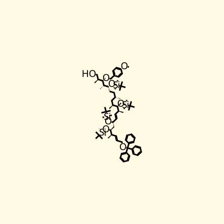 COc1ccc(CO[C@H]([C@@H](C)[C@@H](CC[C@H](C)C[C@H](C)[C@@H](O[Si](C)(C)C(C)(C)C)[C@@H](C)C=C[C@H](C[C@H](O[Si](C)(C)C(C)(C)C)[C@H](C)C=CCOC(c2ccccc2)(c2ccccc2)c2ccccc2)O[Si](C)(C)C(C)(C)C)O[Si](C)(C)C(C)(C)C)[C@@H](C)CO)cc1